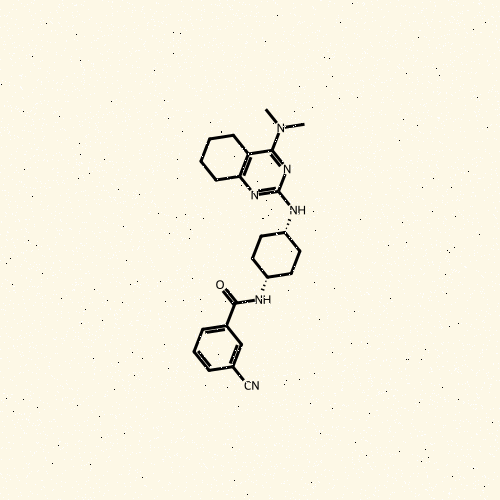 CN(C)c1nc(N[C@H]2CC[C@@H](NC(=O)c3cccc(C#N)c3)CC2)nc2c1CCCC2